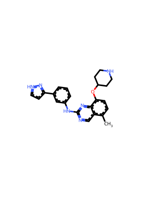 Cc1ccc(OC2CCNCC2)c2nc(Nc3cccc(-c4cc[nH]n4)c3)ncc12